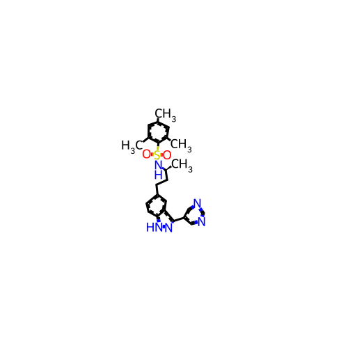 Cc1cc(C)c(S(=O)(=O)N[C@@H](C)CCc2ccc3[nH]nc(-c4cncnc4)c3c2)c(C)c1